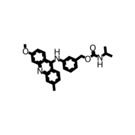 COc1ccc2c(Nc3cccc(COC(=O)NC(C)C)c3)c3ccc(C)cc3nc2c1